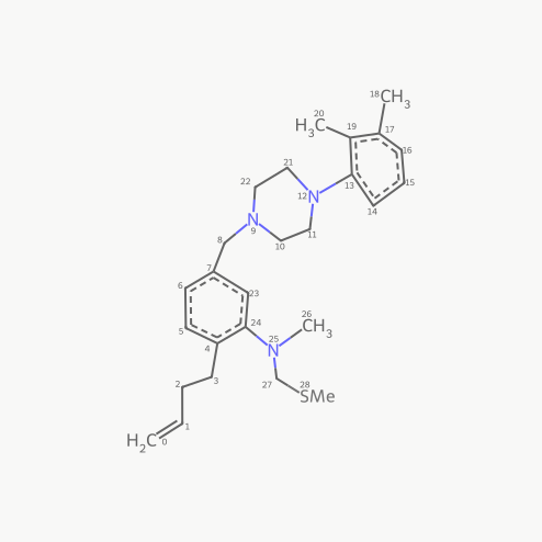 C=CCCc1ccc(CN2CCN(c3cccc(C)c3C)CC2)cc1N(C)CSC